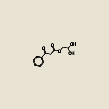 O=C(CC(=O)c1ccccc1)OCC(O)O